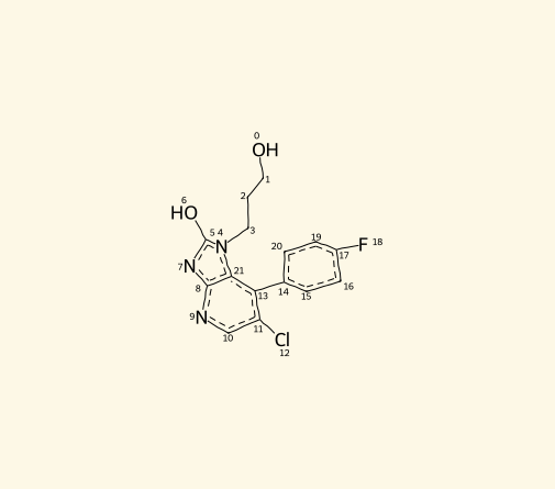 OCCCn1c(O)nc2ncc(Cl)c(-c3ccc(F)cc3)c21